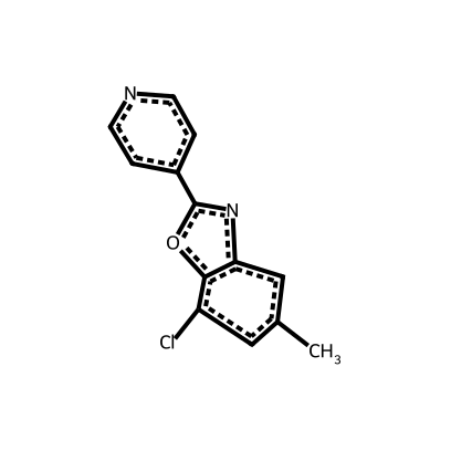 Cc1cc(Cl)c2oc(-c3ccncc3)nc2c1